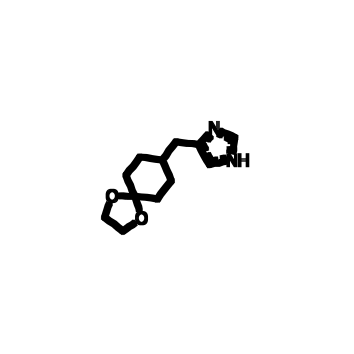 c1nc(CC2CCC3(CC2)OCCO3)c[nH]1